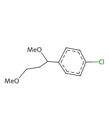 COCCC(OC)c1ccc(Cl)cc1